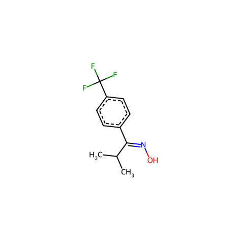 CC(C)C(=NO)c1ccc(C(F)(F)F)cc1